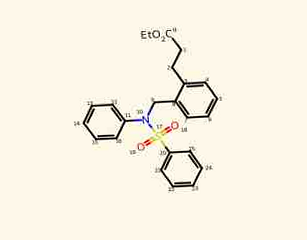 CCOC(=O)CCc1ccccc1CN(c1ccccc1)S(=O)(=O)c1ccccc1